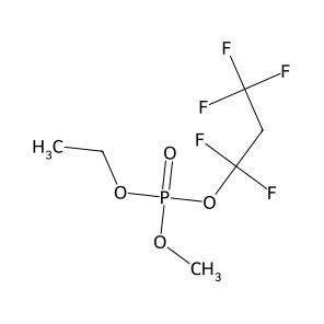 CCOP(=O)(OC)OC(F)(F)CC(F)(F)F